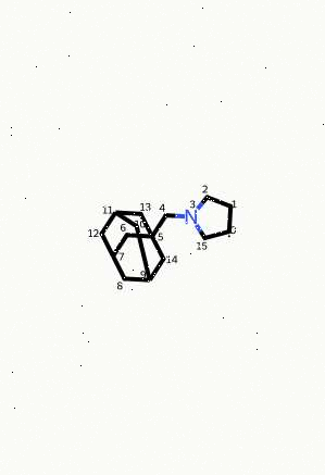 [CH]1CCN(CC23CC4CC(CC(C4)C2)C3)C1